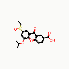 CC[S+]([O-])c1cc(OC(C)C)c2oc3ccc(C(=O)O)cc3c(=O)c2c1